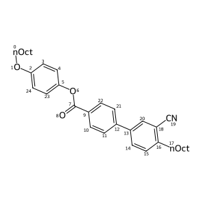 CCCCCCCCOc1ccc(OC(=O)c2ccc(-c3ccc(CCCCCCCC)c(C#N)c3)cc2)cc1